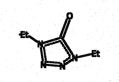 C[CH]n1nnn(CC)c1=O